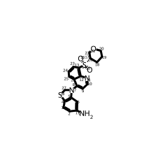 Nc1ccc2c(c1)N(c1ccnc3c(S(=O)(=O)[C@H]4CCCOC4)cccc13)CS2